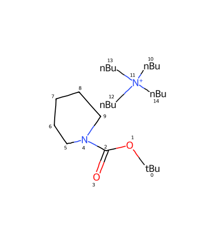 CC(C)(C)OC(=O)N1CCCCC1.CCCC[N+](CCCC)(CCCC)CCCC